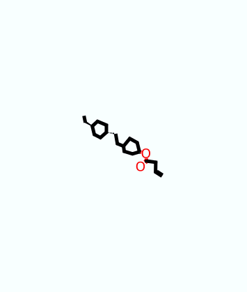 C=CCC(=O)OC1CCC(CC[C@H]2CC[C@H](CC)CC2)CC1